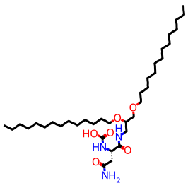 CCCCCCCCCCCCCCOCC(CNC(=O)[C@H](CC(N)=O)NC(=O)O)OCCCCCCCCCCCCCC